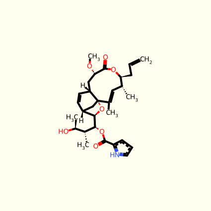 C=CC[C@@H]1OC(=O)[C@@H](OC)C[C@H]2C=C[C@@H]3C[C@]2(O[C@H]3[C@H](OC(=O)c2ccc[nH]2)[C@H](C)[C@H](C)O)/C(C)=C/[C@H]1C